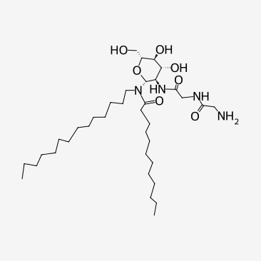 CCCCCCCCCCCCCCN(C(=O)CCCCCCCCCCC)[C@@H]1O[C@H](CO)[C@@H](O)[C@H](O)[C@H]1NC(=O)CNC(=O)CN